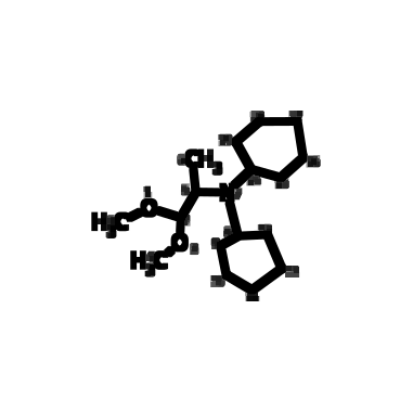 COC(OC)C(C)N(C1CCCCC1)C1CCCCC1